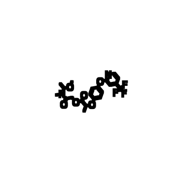 COC(C)N(C)C(=O)COC(=O)C(C)Oc1ccc(Oc2cc(C(F)(F)F)ccn2)cc1